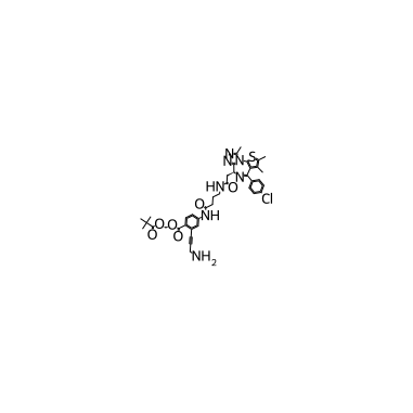 Cc1sc2c(c1C)C(c1ccc(Cl)cc1)=N[C@@H](CC(=O)NCCCC(=O)Nc1ccc(C(=O)OCOC(=O)C(C)(C)C)c(C#CCN)c1)c1nnc(C)n1-2